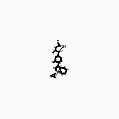 Cc1cc(C2=NNC(=O)CC2C)ccc1-c1cn(C2CC2)c2ccccc12